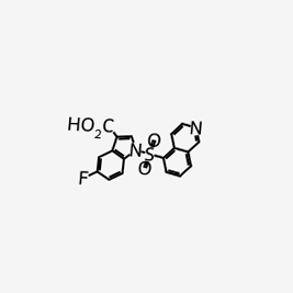 O=C(O)c1cn(S(=O)(=O)c2cccc3cnccc23)c2ccc(F)cc12